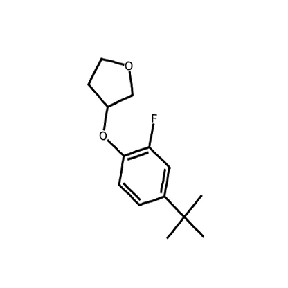 CC(C)(C)c1ccc(OC2CCOC2)c(F)c1